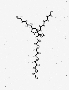 CCCCCCCCC(CC)(CCCCCCCC)C(=O)OCCOCCCOCCCOCC